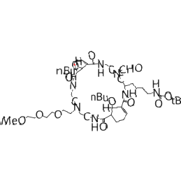 CCCCO[C@@H]1C2=CCCC1C(=O)NCCN(CCOCCOCCOC)CCNC(=O)C1CCC=C(C(=O)NCCN(C=O)CC(CCCCNC(=O)OC(C)(C)C)NC2=O)[C@@H]1OCCCC